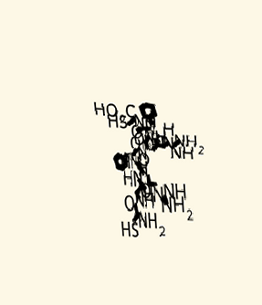 N=C(N)NCCC[C@H](NC(=O)CNC(=O)[C@@H](N)CS)C(=O)N[C@H](Cc1ccccc1)C(=O)N[C@@H](CC(Br)CNC(=N)N)C(=O)N[C@@H](Cc1ccccc1)C(=O)N[C@@H](CS)C(=O)O